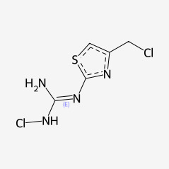 N/C(=N\c1nc(CCl)cs1)NCl